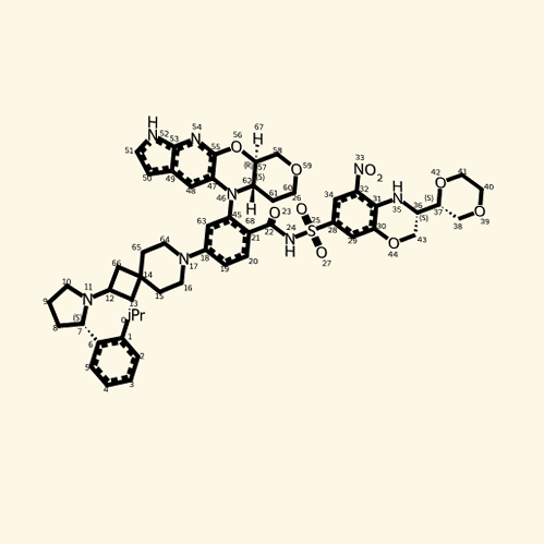 CC(C)c1ccccc1[C@@H]1CCCN1C1CC2(CCN(c3ccc(C(=O)NS(=O)(=O)c4cc5c(c([N+](=O)[O-])c4)N[C@H]([C@H]4COCCO4)CO5)c(N4c5cc6cc[nH]c6nc5O[C@H]5COCC[C@@H]54)c3)CC2)C1